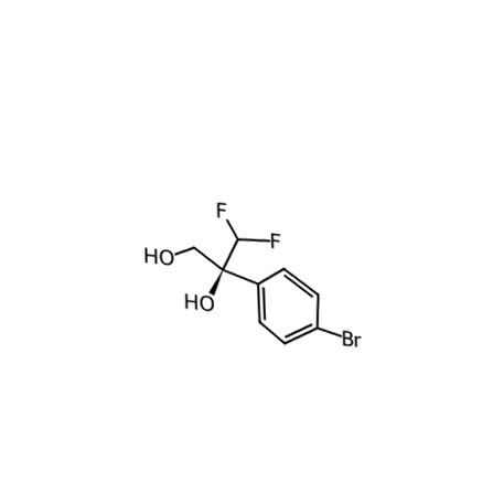 OC[C@@](O)(c1ccc(Br)cc1)C(F)F